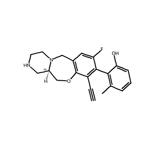 C#Cc1c2c(cc(F)c1-c1c(C)cccc1O)CN1CCNC[C@@H]1CO2